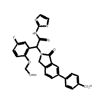 COCOc1ccc(F)cc1C(C(=O)Nc1nccs1)N1Cc2ccc(-c3ccc(C(=O)O)cc3)cc2C1=O